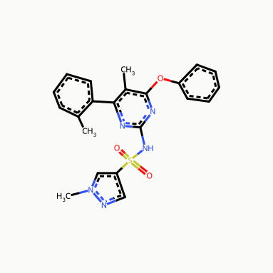 Cc1ccccc1-c1nc(NS(=O)(=O)c2cnn(C)c2)nc(Oc2ccccc2)c1C